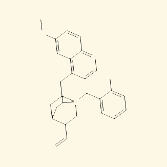 C=CC1C[N+]2(Cc3ccccc3F)CCC1CC2[C@H](O)c1ccnc2ccc(OC)cc12